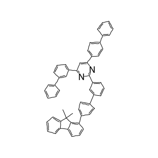 CC1(C)c2ccccc2-c2cccc(-c3ccc(-c4cccc(-c5nc(-c6ccc(-c7ccccc7)cc6)cc(-c6cccc(-c7ccccc7)c6)n5)c4)cc3)c21